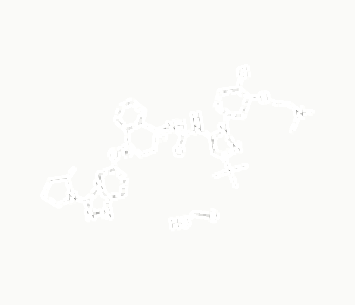 CC1CCCN1c1nnc2ccc(O[C@@H]3CC[C@H](NC(=O)Nc4cc(C(C)(C)C)nn4-c4ccc(Cl)c(OCCN(C)C)c4)c4ccccc43)cn12.O=CO